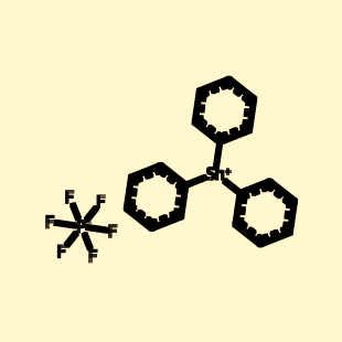 F[P-](F)(F)(F)(F)F.c1cc[c]([Sn+]([c]2ccccc2)[c]2ccccc2)cc1